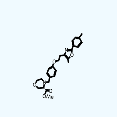 COC(=O)[C@@H]1COCCN1Cc1ccc(OCCc2nc(-c3ccc(C)cc3)oc2C)cc1